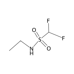 CCNS(=O)(=O)C(F)F